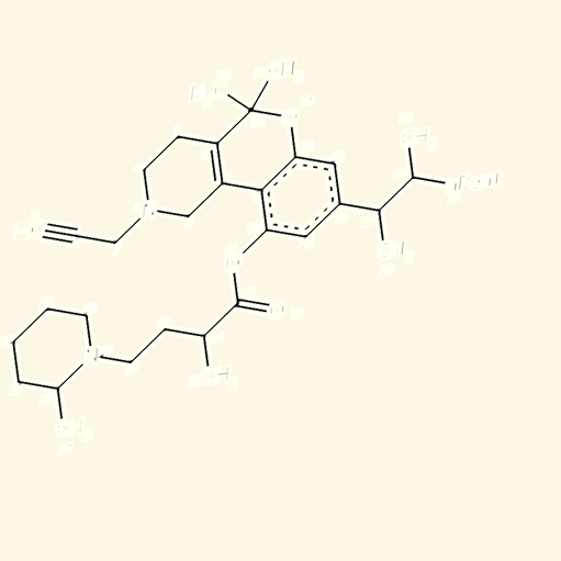 C#CCN1CCC2=C(C1)c1c(OC(=O)C(C)CCN3CCCCC3C)cc(C(C)C(C)CCCCC)cc1OC2(C)C